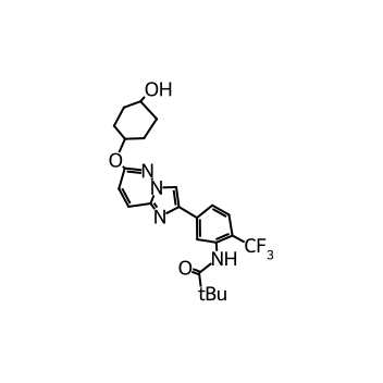 CC(C)(C)C(=O)Nc1cc(-c2cn3nc(OC4CCC(O)CC4)ccc3n2)ccc1C(F)(F)F